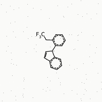 FC(F)(F)Cc1ccccc1[C]1C=Cc2ccccc21